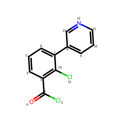 O=C(Cl)c1cccc(-c2cccnc2)c1Cl